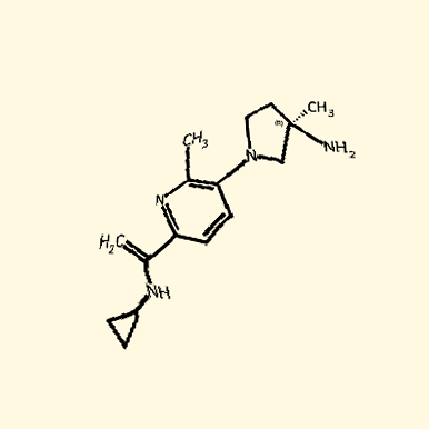 C=C(NC1CC1)c1ccc(N2CC[C@@](C)(N)C2)c(C)n1